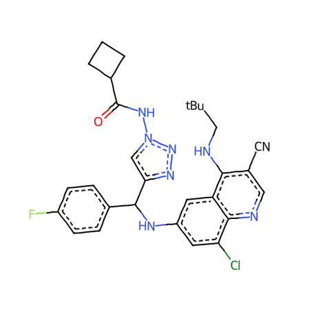 CC(C)(C)CNc1c(C#N)cnc2c(Cl)cc(NC(c3ccc(F)cc3)c3cn(NC(=O)C4CCC4)nn3)cc12